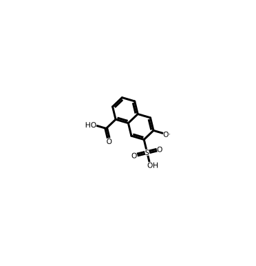 [O]c1cc2cccc(C(=O)O)c2cc1S(=O)(=O)O